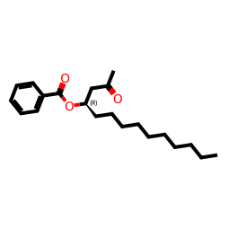 CCCCCCCCCC[C@H](CC(C)=O)OC(=O)c1ccccc1